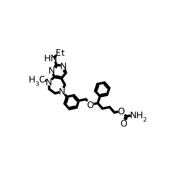 CCNc1ncc2c(n1)N(C)CCN(c1cccc(COC(CCCOC(N)=O)c3ccccc3)c1)C2